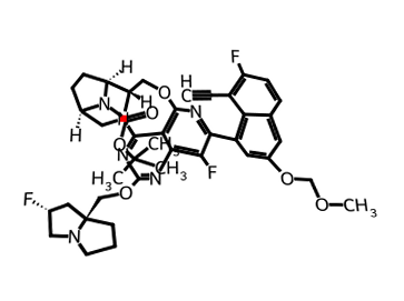 C#Cc1c(F)ccc2cc(OCOC)cc(-c3nc4c5c(nc(OC[C@@]67CCCN6C[C@H](F)C7)nc5c3F)N3C[C@H]5CC[C@@H]([C@@H]3CO4)N5C(=O)OC(C)(C)C)c12